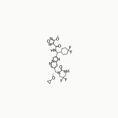 COc1nonc1C(=O)N[C@H](c1cn2ncc([C@@H](COC3CC3)N3CC(F)(F)CNC3=O)cc2n1)C1CCC(F)(F)CC1